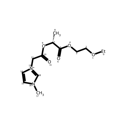 CCOCCOC(=O)[C@@H](C)OC(=O)C[n+]1ccn(C)c1